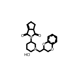 Cl.O=C1C2=CCCC2C(=O)N1C1CCCN(CC2COc3ccccc3O2)C1